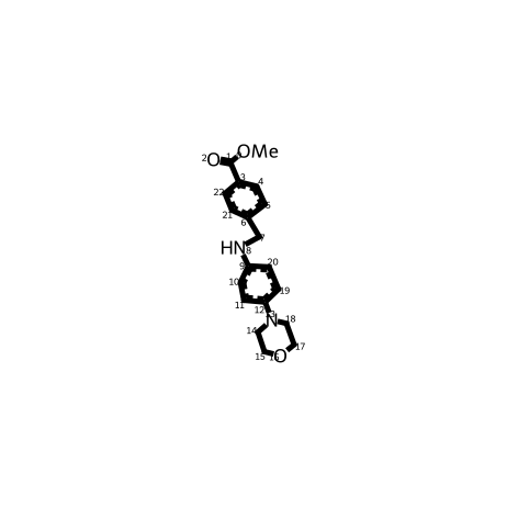 COC(=O)c1ccc(CNc2ccc(N3CCOCC3)cc2)cc1